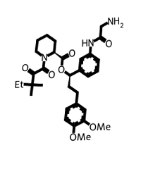 CCC(C)(C)C(=O)C(=O)N1CCCC[C@H]1C(=O)O[C@H](CCc1ccc(OC)c(OC)c1)c1cccc(NC(=O)CN)c1